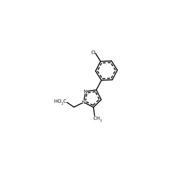 Cc1cc(-c2cccc(Cl)c2)nn1CC(=O)O